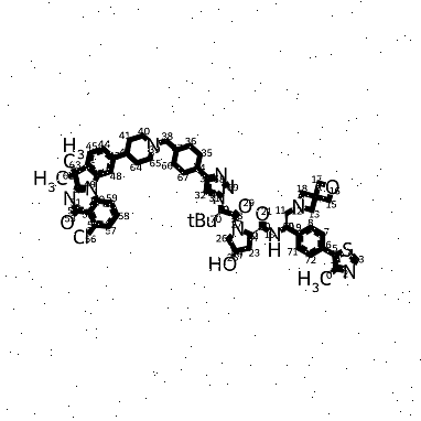 Cc1ncsc1-c1ccc([C@H](CN2CC3(COC3)C2)NC(=O)[C@@H]2C[C@@H](O)CN2C(=O)[C@@H](n2cc(C3CCC(CN4CCC(c5ccc6c(c5)-n5c(nc(=O)c7c(Cl)cccc75)C6(C)C)CC4)CC3)nn2)C(C)(C)C)cc1